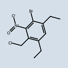 CCc1cc(CC)c(CCl)c([N+](=O)[O-])c1Br